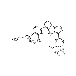 COc1nc(-c2cccc(-c3cccc(-c4ccc([C@@H](N)CCCO)c(OC)n4)c3Cl)c2Cl)ccc1[C@@H]1CCCN1